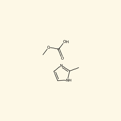 COC(=O)O.Cc1ncc[nH]1